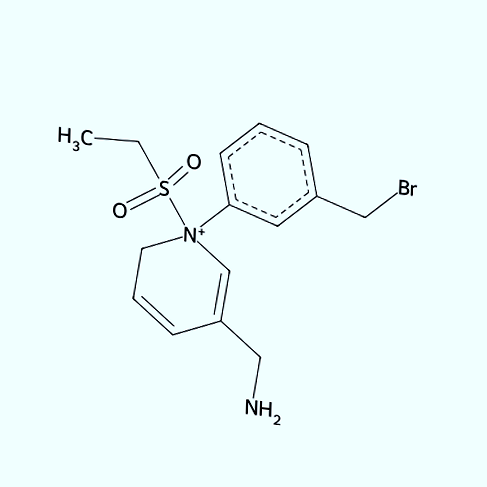 CCS(=O)(=O)[N+]1(c2cccc(CBr)c2)C=C(CN)C=CC1